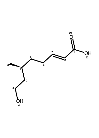 C[C@H](CCO)CC/C=C/C(=O)O